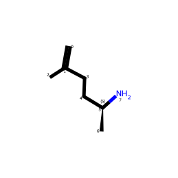 C=C(C)CC[C@H](C)N